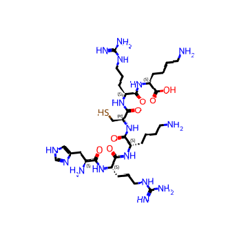 N=C(N)NCCC[C@H](NC(=O)[C@H](CS)NC(=O)[C@H](CCCCN)NC(=O)[C@H](CCCNC(=N)N)NC(=O)[C@@H](N)Cc1c[nH]cn1)C(=O)N[C@@H](CCCCN)C(=O)O